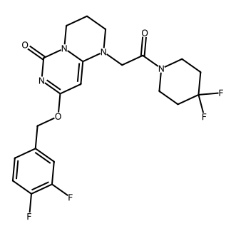 O=C(CN1CCCn2c1cc(OCc1ccc(F)c(F)c1)nc2=O)N1CCC(F)(F)CC1